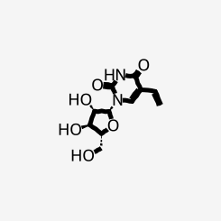 C=Cc1cn([C@@H]2O[C@H](CO)[C@@H](O)[C@@H]2O)c(=O)[nH]c1=O